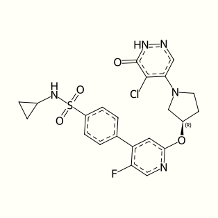 O=c1[nH]ncc(N2CC[C@@H](Oc3cc(-c4ccc(S(=O)(=O)NC5CC5)cc4)c(F)cn3)C2)c1Cl